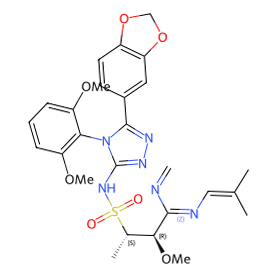 C=N/C(=N\C=C(C)C)[C@@H](OC)[C@H](C)S(=O)(=O)Nc1nnc(-c2ccc3c(c2)OCO3)n1-c1c(OC)cccc1OC